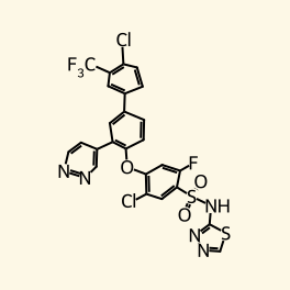 O=S(=O)(Nc1nncs1)c1cc(Cl)c(Oc2ccc(-c3ccc(Cl)c(C(F)(F)F)c3)cc2-c2ccnnc2)cc1F